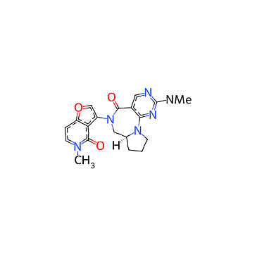 CNc1ncc2c(n1)N1CCC[C@H]1CN(c1coc3ccn(C)c(=O)c13)C2=O